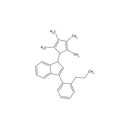 CCCc1ccccc1C1=CC([C]2C(C)=C(C)C(C)=C2C)c2ccccc21